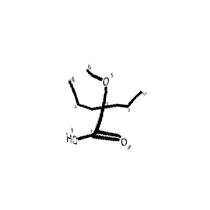 CCC(CC)(OC)C(=O)O